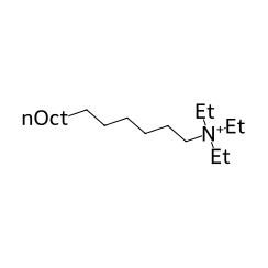 CCCCCCCCCCCCCC[N+](CC)(CC)CC